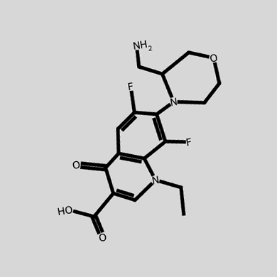 CCn1cc(C(=O)O)c(=O)c2cc(F)c(N3CCOCC3CN)c(F)c21